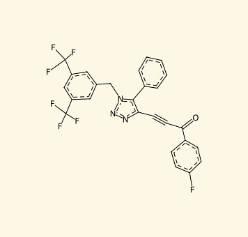 O=C(C#Cc1nnn(Cc2cc(C(F)(F)F)cc(C(F)(F)F)c2)c1-c1ccccc1)c1ccc(F)cc1